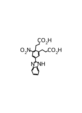 O=C(O)CCc1cc(-c2nc3ccccc3[nH]2)cc([N+](=O)[O-])c1CCC(=O)O